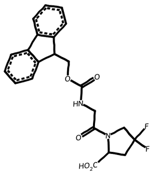 O=C(NCC(=O)N1CC(F)(F)CC1C(=O)O)OCC1c2ccccc2-c2ccccc21